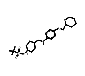 CC(C)(C)S(=O)(=O)NC1CCC(CNc2ccc(OCC3CCCCO3)cc2)CC1